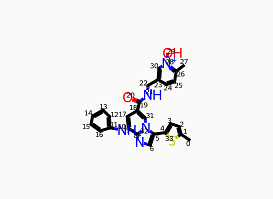 Cc1ccc(-c2cnc3c(Nc4ccccc4)cc(C(=O)NCc4ccc(C)[n+](O)c4)cn23)s1